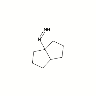 N=NC12CCCC1CCC2